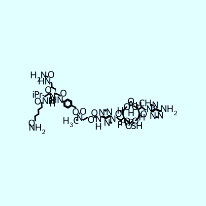 CC(C)[C@H](NC(=O)CCCCCON)C(=O)N[C@@H](CCCNC(N)=O)C(=O)Nc1ccc(COC(=O)N(C)CCOC(=O)Nc2ncnc3c2ncn3[C@@H]2O[C@@H]3CO[PH](=O)O[C@H]4[C@@H](C)[C@H](n5cnc6c(N)ncnc65)O[C@@H]4CO[P@@](=O)(S)O[C@H]3[C@H]2F)cc1